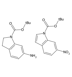 CC(C)(C)OC(=O)N1CCc2ccc(N)cc21.CC(C)(C)OC(=O)n1ccc2ccc([N+](=O)[O-])cc21